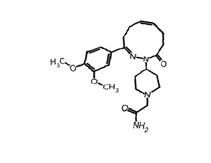 COc1ccc(/C2=N/N(C3CCN(CC(N)=O)CC3)C(=O)CC/C=C\CC2)cc1OC